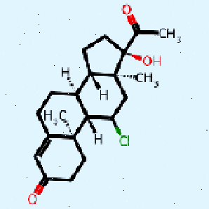 CC(=O)[C@@]1(O)CC[C@H]2[C@@H]3CCC4=CC(=O)CC[C@]4(C)[C@H]3C(Cl)C[C@@]21C